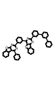 c1ccc(-c2cccc(-c3cccc(-c4nc(-c5cccc(-c6nc(-c7ccccc7)c7c(n6)oc6ccccc67)c5)c5sc6ccccc6c5n4)c3)c2)cc1